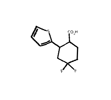 O=C(O)C1CCC(F)(F)CC1c1cccs1